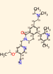 CCOc1cc(CN2CCc3c(cc(CCN(C)CC)cc3-c3cc(C)cnc3C)C2=O)ncc1C#N